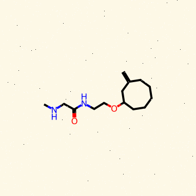 C=C1CCCCCC(OCCNC(=O)CNC)C1